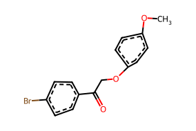 COc1ccc(OCC(=O)c2ccc(Br)cc2)cc1